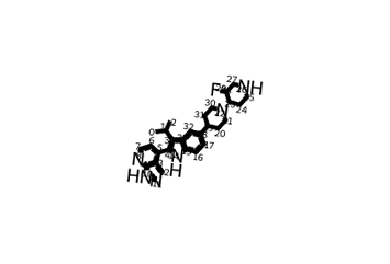 CC(C)c1c(-c2ccnc3[nH]ncc23)[nH]c2ccc(C3CCN(C4CCNCC4F)CC3)cc12